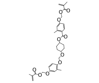 C=C(C)C(=O)OCOc1ccc(OCOC2CCC(OC(=O)c3ccc(OCOC(=O)C(=C)C)cc3C)CC2)c(C)c1